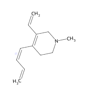 C=C/C=C\C1=C(C=C)CN(C)CC1